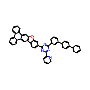 c1ccc(-c2ccc(-c3cccc(-c4nc(-c5ccc6c(c5)oc5cc7c8ccccc8c8ccccc8c7cc56)nc(-c5ccccn5)n4)c3)cc2)cc1